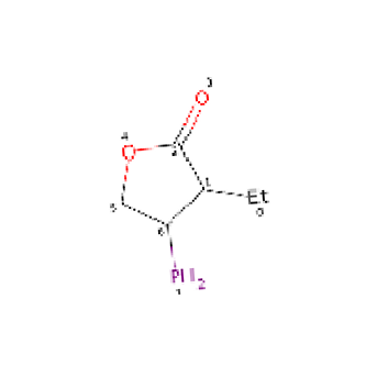 CCC1C(=O)OCC1P